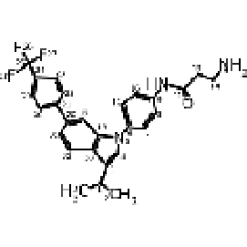 CC(C)c1cn(-c2ccc(NC(=O)CCN)cc2)c2cc(-c3ccc(C(F)(F)F)cc3)ccc12